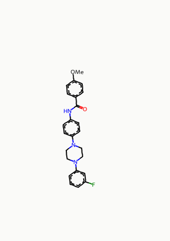 COc1ccc(C(=O)Nc2ccc(N3CCN(c4cccc(F)c4)CC3)cc2)cc1